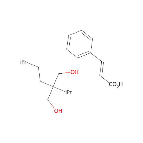 CC(C)CCC(CO)(CO)C(C)C.O=C(O)C=Cc1ccccc1